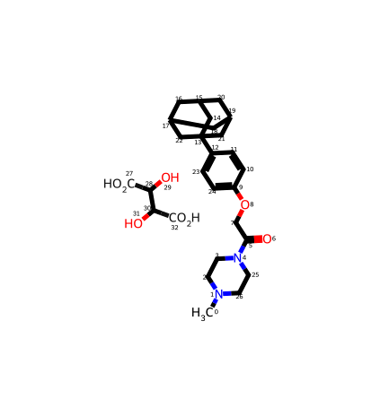 CN1CCN(C(=O)COc2ccc(C34CC5CC(CC(C5)C3)C4)cc2)CC1.O=C(O)C(O)C(O)C(=O)O